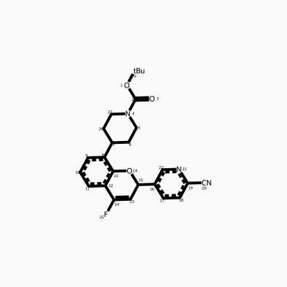 CC(C)(C)OC(=O)N1CCC(c2cccc3c2OC(c2ccc(C#N)nc2)C=C3F)CC1